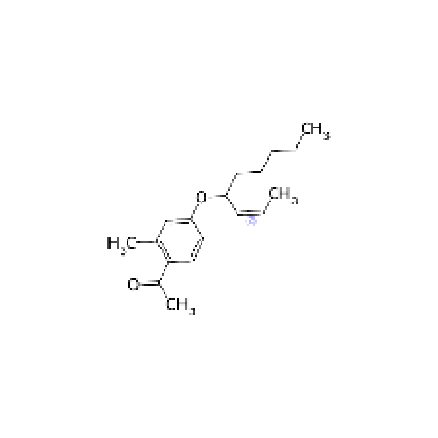 C/C=C\C(CCCCC)Oc1ccc(C(C)=O)c(C)c1